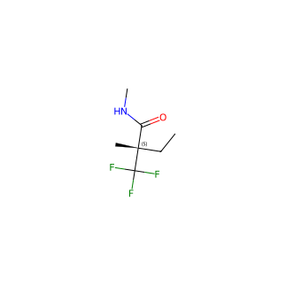 CC[C@@](C)(C(=O)NC)C(F)(F)F